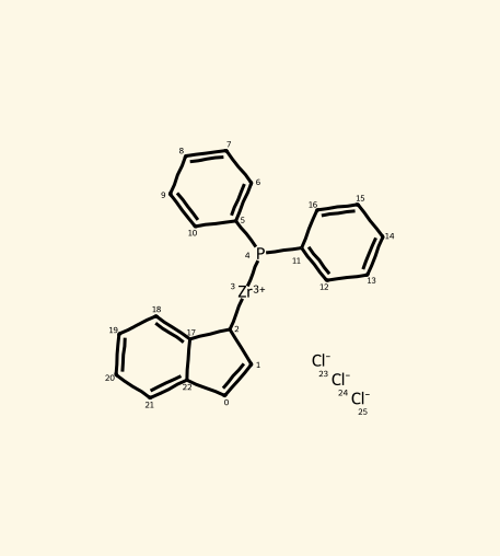 C1=C[CH]([Zr+3][P](c2ccccc2)c2ccccc2)c2ccccc21.[Cl-].[Cl-].[Cl-]